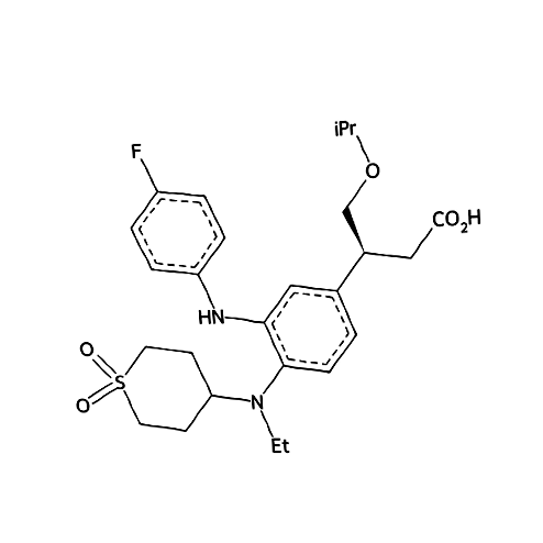 CCN(c1ccc([C@@H](COC(C)C)CC(=O)O)cc1Nc1ccc(F)cc1)C1CCS(=O)(=O)CC1